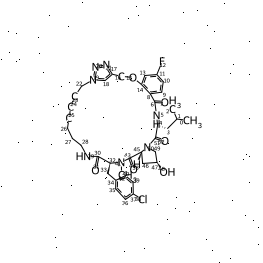 CC(C)C[C@H]1NC(=O)c2ccc(F)cc2OCc2cn(nn2)CCCCCCCNC(=O)[C@H](Cc2ccc(Cl)cc2)N(C)C(=O)[C@H]2C[C@H](O)CN2C1=O